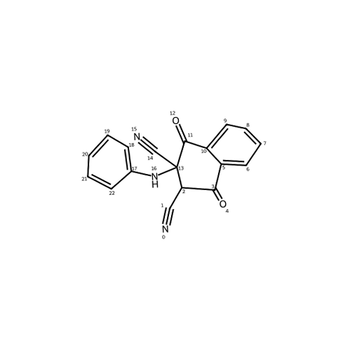 N#CC1C(=O)c2ccccc2C(=O)C1(C#N)Nc1ccccc1